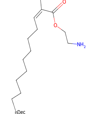 CCCCCCCCCCCCCCCCCCC=C(C)C(=O)OCCN